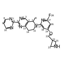 CC1c2cnc(-c3ncccn3)nc2CCN1c1cc(OCC2CNC2)cc(F)n1